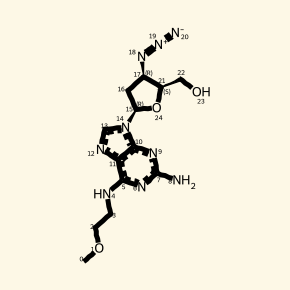 COCCNc1nc(N)nc2c1ncn2[C@H]1C[C@@H](N=[N+]=[N-])[C@@H](CO)O1